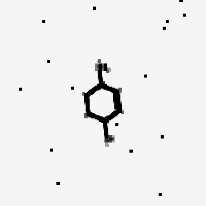 NC1C=CC(S)CC1